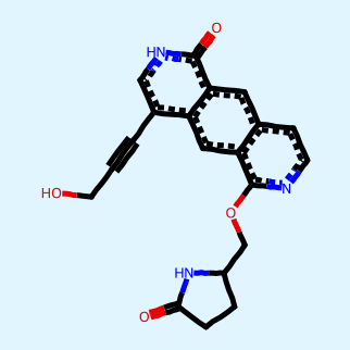 O=C1CCC(COc2nccc3cc4c(=O)[nH]cc(C#CCO)c4cc23)N1